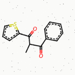 CC(C(=O)c1ccccc1)C(=O)c1cccs1